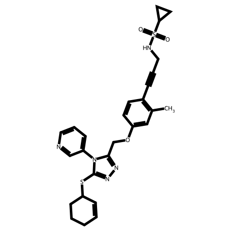 Cc1cc(OCc2nnc(SC3C=CCCC3)n2-c2cccnc2)ccc1C#CCNS(=O)(=O)C1CC1